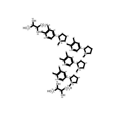 Cc1cc([C@@H]2CCCN2C)cnc1C.Cc1cc([C@@H]2CCCN2C)cnc1C.Cc1cc([C@@H]2CCCN2C)cnc1C.Cc1cc([C@@H]2CCCN2C)cnc1C.O=C(O)C(O)C(O)C(=O)O.O=C(O)C(O)C(O)C(=O)O